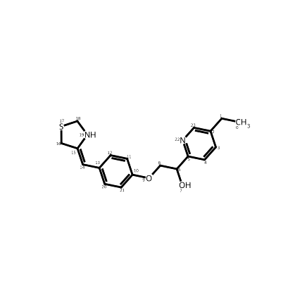 CCc1ccc(C(O)COc2ccc(C=C3CSCN3)cc2)nc1